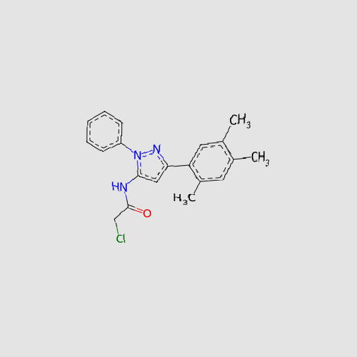 Cc1cc(C)c(-c2cc(NC(=O)CCl)n(-c3ccccc3)n2)cc1C